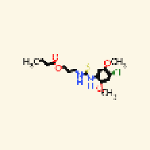 CCCC(=O)OCCCNC(=S)Nc1cc(OC)c(Cl)cc1OC